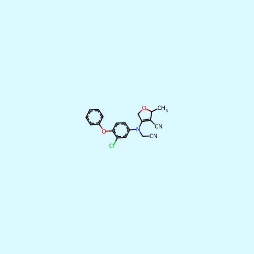 CC1OCC(N(CC#N)c2ccc(Oc3ccccc3)c(Cl)c2)=C1C#N